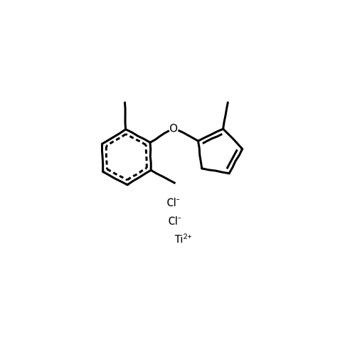 CC1=C(Oc2c(C)cccc2C)CC=C1.[Cl-].[Cl-].[Ti+2]